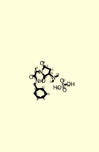 C[C@H](C(=O)NCc1ccccc1)N1C(=O)CC(N(C)C)C1=O.O=S(=O)(O)O